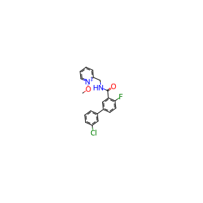 CO[n+]1ccccc1CNC(=O)c1cc(-c2cccc(Cl)c2)ccc1F